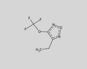 CCc1nonc1OC(F)(F)F